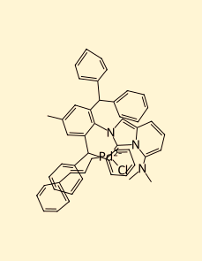 Cc1cc(C(c2ccccc2)c2ccccc2)c(-n2cc3cccc(N(C)C)n3[c]2=[Pd-2]([Cl])[CH2]C=Cc2ccccc2)c(C(c2ccccc2)c2ccccc2)c1